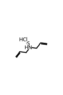 C=CCNCC=C.Cl.[S]